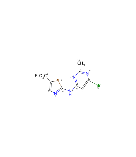 CCOC(=O)c1cnc(Nc2cc(Br)nc(C)n2)s1